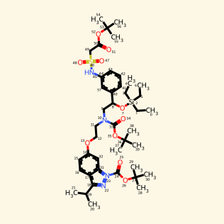 CC[Si](CC)(CC)OC(CN(CCOc1ccc2c(C(C)C)nn(C(=O)OC(C)(C)C)c2c1)C(=O)OC(C)(C)C)c1cccc(NS(=O)(=O)CC(=O)OC(C)(C)C)c1